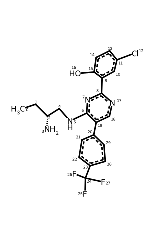 CC[C@@H](N)CNc1nc(-c2cc(Cl)ccc2O)ncc1-c1ccc(C(F)(F)F)cc1